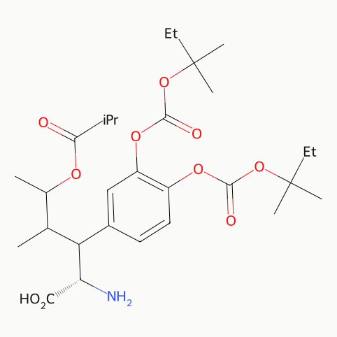 CCC(C)(C)OC(=O)Oc1ccc(C(C(C)C(C)OC(=O)C(C)C)[C@H](N)C(=O)O)cc1OC(=O)OC(C)(C)CC